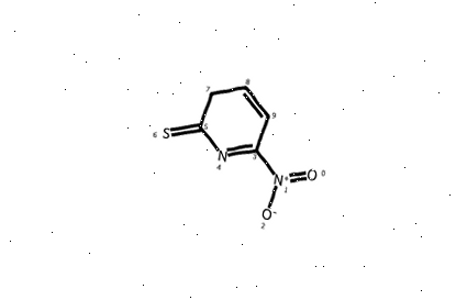 O=[N+]([O-])C1=NC(=S)CC=C1